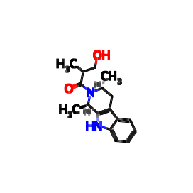 CC(CO)C(=O)N1[C@H](C)Cc2c([nH]c3ccccc23)[C@H]1C